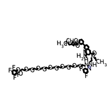 CCCN(CCCN/C(=N/c1cc(F)cc(F)c1)NCCOCCOCCOCCOCCOCCOCCOCCOCCOCCOCCC(=O)Oc1c(F)c(F)cc(F)c1F)C(=O)C1=Cc2ccc(-c3cccc(S(=O)(=O)N4CC(CN(C)C)C4)c3)cc2N=C(N)C1